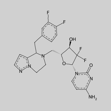 Nc1ccn([C@@H]2O[C@H](CN3CCn4nccc4C3Cc3ccc(F)c(F)c3)[C@@H](O)C2(F)F)c(=O)n1